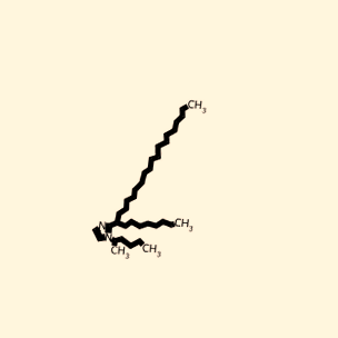 CCCCCCCCCCCCCCCCCCC(CCCCCCCC)c1nccn1C(C)CCCC